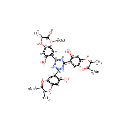 CCCCCCCCCC(=O)C(C)Oc1ccc(-c2nc(-c3ccc(OC(C)C(=O)OC)cc3O)nc(-c3ccc(OC(C)C(=O)OCCCCCCCC)cc3O)n2)c(O)c1